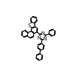 c1ccc(-c2ccc(-c3nc(-c4ccccc4)nc(-c4cc5c6ccccc6sc5c5c4ccc4ccccc45)n3)cc2)cc1